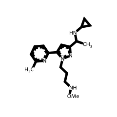 CONCCCn1nc(C(C)NC2CC2)cc1-c1cccc(C)n1